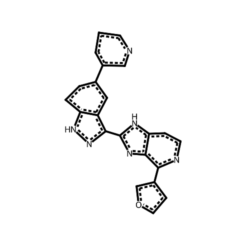 c1cncc(-c2ccc3[nH]nc(-c4nc5c(-c6ccoc6)nccc5[nH]4)c3c2)c1